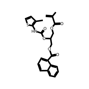 C=C(C)C(=O)OCC(COC(=O)c1cccc2ccccc12)OC(=O)Nc1sccc1C